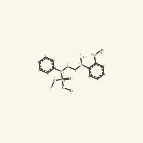 CCOP(=S)(OCC)N(SCN(C(=O)O)c1ccccc1OC(C)C)c1ccccc1